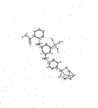 COC(=O)c1ccccc1Nc1cc(Nc2ccc(C34CC5CC(C3)C(C5)C4)cc2)cc(C(F)(F)F)c1